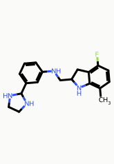 Cc1ccc(F)c2c1NC(CNc1cccc(C3NCCN3)c1)C2